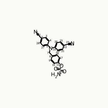 N#Cc1ccc(N(Cc2ccc(OS(N)(=O)=O)cc2)c2ccc(C#N)cc2)cc1